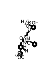 COC(=O)c1c(O)cccc1OCCCCNC(=O)[C@H](Cc1ccc(C2CC(=O)[N+]([O-])([O-])S2)c(C#N)c1)NC(=O)OCc1ccccc1